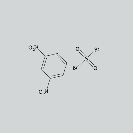 O=S(=O)(Br)Br.O=[N+]([O-])c1cccc([N+](=O)[O-])c1